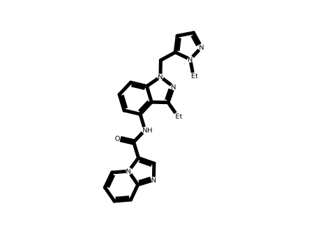 CCc1nn(Cc2ccnn2CC)c2cccc(NC(=O)c3cnc4ccccn34)c12